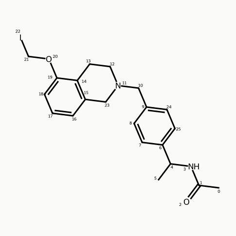 CC(=O)NC(C)c1ccc(CN2CCc3c(cccc3OCI)C2)cc1